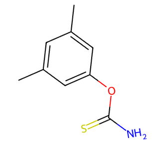 Cc1cc(C)cc(OC(N)=S)c1